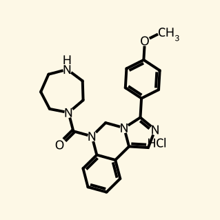 COc1ccc(-c2ncc3n2CN(C(=O)N2CCCNCC2)c2ccccc2-3)cc1.Cl